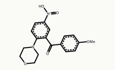 COc1ccc(C(=O)c2cc([N+](=O)O)ccc2N2CCOCC2)cc1